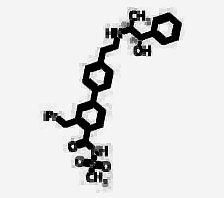 CC(C)Cc1cc(-c2ccc(CCN[C@@H](C)[C@@H](O)c3ccccc3)cc2)ccc1C(=O)NS(C)(=O)=O